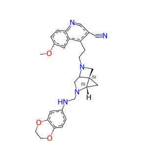 COc1ccc2ncc(C#N)c(CCN3C[C@@]45C[C@@H]4N(CNc4ccc6c(c4)OCCO6)CC35)c2c1